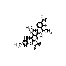 Cc1nc(N[C@H](C)c2cccc(C(F)F)c2F)c2cn(C3(CF)CC3)c(=O)c(Nc3cnn(C)c3)c2n1